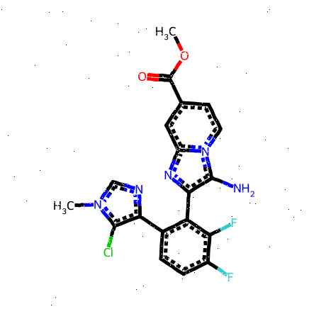 COC(=O)c1ccn2c(N)c(-c3c(-c4ncn(C)c4Cl)ccc(F)c3F)nc2c1